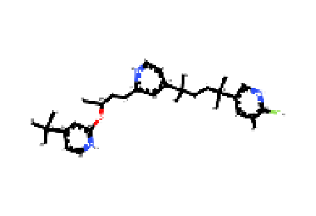 Cc1cc(C(C)(C)CCC(C)(C)c2ccnc(CCC(C)Oc3cc(C(C)(C)C)ccn3)c2)cnc1F